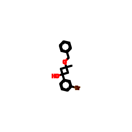 CC1(OCc2ccccc2)CC(O)(c2cccc(Br)c2)C1